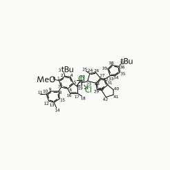 COc1c(C(C)(C)C)cc2c(c1-c1cc(C)cc(C)c1)C=C(C)[CH]2[Zr]([Cl])([Cl])[CH]1C(C)=Cc2c1cc1c(c2-c2ccc(C(C)(C)C)cc2)CCC1